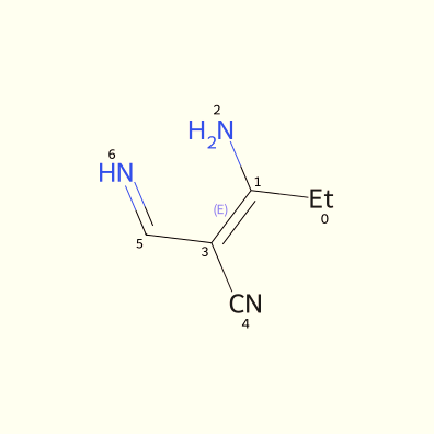 CC/C(N)=C(\C#N)C=N